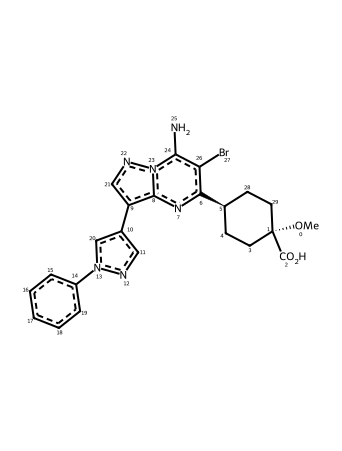 CO[C@]1(C(=O)O)CC[C@@H](c2nc3c(-c4cnn(-c5ccccc5)c4)cnn3c(N)c2Br)CC1